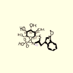 COn1cc(C/C(=N/OS(=O)(=O)O)S[C@@H]2O[C@H](CO)[C@@H](O)[C@H](O)[C@H]2O)c2ccccc21